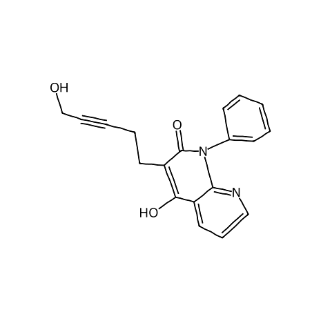 O=c1c(CCC#CCO)c(O)c2cccnc2n1-c1ccccc1